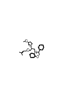 COC1CCN(C(COCC=C(C)C)CN2c3ccccc3OCC2c2ccccc2)C1